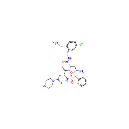 NCc1ccc(Cl)cc1CNC(=O)[C@@H]1C[C@@H](N)CN1C(=O)[C@@H](CC(=O)N1CCNCC1)NS(=O)(=O)Cc1ccccc1